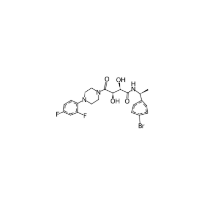 C[C@H](NC(=O)[C@H](O)[C@@H](O)C(=O)N1CCN(c2ccc(F)cc2F)CC1)c1ccc(Br)cc1